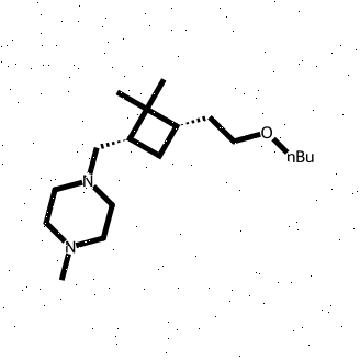 CCCCOCC[C@@H]1C[C@H](CN2CCN(C)CC2)C1(C)C